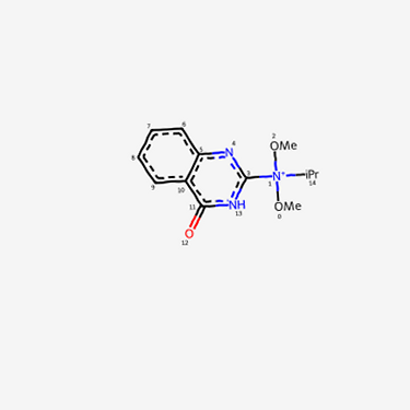 CO[N+](OC)(c1nc2ccccc2c(=O)[nH]1)C(C)C